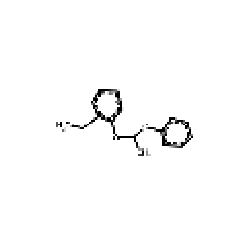 CCc1ccccc1OC(C)Oc1ccccc1